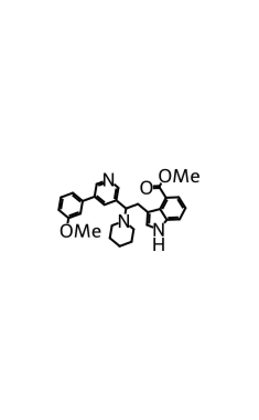 COC(=O)c1cccc2[nH]cc(CC(c3cncc(-c4cccc(OC)c4)c3)N3CCCCC3)c12